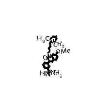 COc1ccc2c(c1)N(CCCCCN1C(C)CCCC1C)C(=O)C(c1cccc(C(=N)N)c1)C2